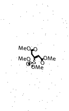 COC(=O)C=C(CC(=O)OC)SP(=O)(OC)OC